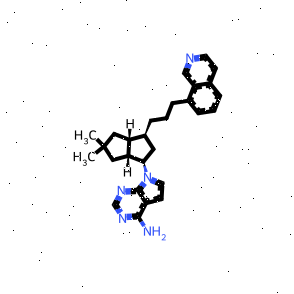 CC1(C)C[C@@H]2[C@@H](CCCc3cccc4ccncc34)C[C@@H](n3ccc4c(N)ncnc43)[C@@H]2C1